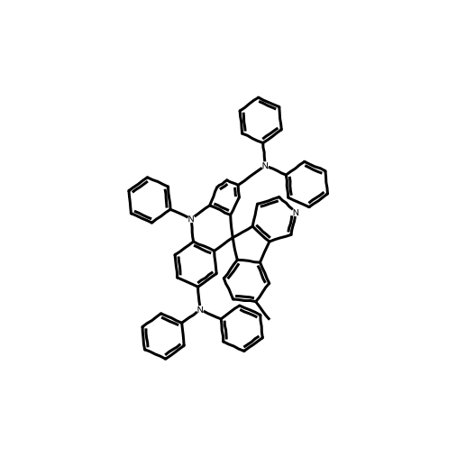 Cc1ccc2c(c1)-c1cnccc1C21c2cc(N(c3ccccc3)c3ccccc3)ccc2N(c2ccccc2)c2ccc(N(c3ccccc3)c3ccccc3)cc21